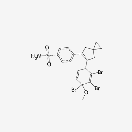 COC1(Br)C=CC(C2=C(c3ccc(S(N)(=O)=O)cc3)CC3(CC3)C2)C(Br)=C1Br